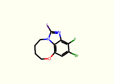 Fc1c(Br)cc2c3c1nc(I)n3CCCCO2